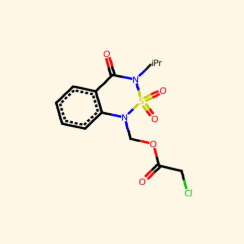 CC(C)N1C(=O)c2ccccc2N(COC(=O)CCl)S1(=O)=O